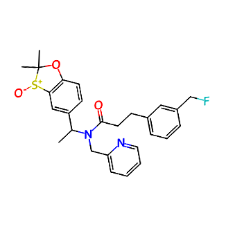 CC(c1ccc2c(c1)[S+]([O-])C(C)(C)O2)N(Cc1ccccn1)C(=O)CCc1cccc(CF)c1